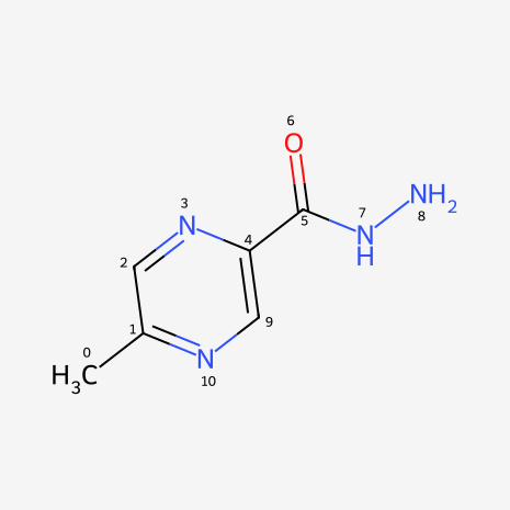 Cc1cnc(C(=O)NN)cn1